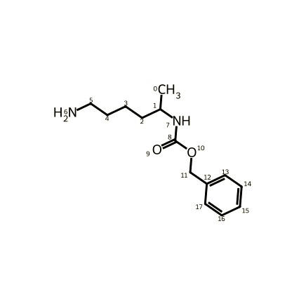 CC(CCCCN)NC(=O)OCc1ccccc1